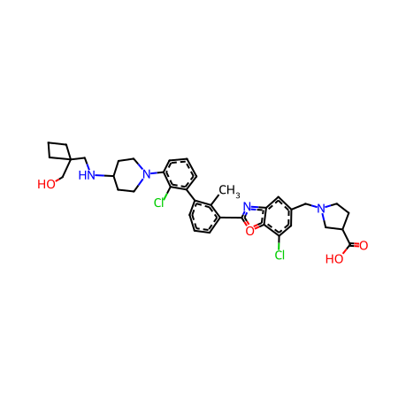 Cc1c(-c2nc3cc(CN4CCC(C(=O)O)C4)cc(Cl)c3o2)cccc1-c1cccc(N2CCC(NCC3(CO)CCC3)CC2)c1Cl